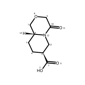 O=C(O)[C@H]1CC[C@@H]2COCC(=O)N2C1